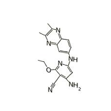 CCOc1nc(Nc2ccc3nc(C)c(C)nc3c2)cc(N)c1C#N